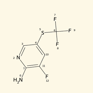 Nc1ncc(SC(F)(F)F)cc1F